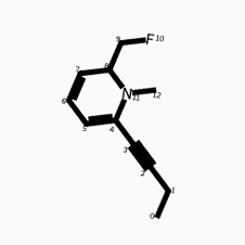 CCC#CC1=CC=CC(CF)N1C